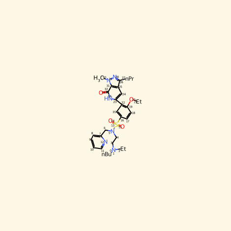 CCCCN(CC)CCN(Cc1ccccn1)S(=O)(=O)c1ccc(OCC)c(-c2cc3c(CCC)nn(C)c3c(=O)[nH]2)c1